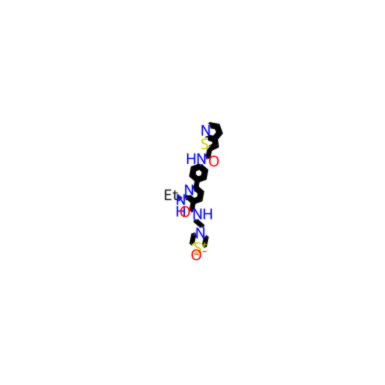 CCNc1nc(-c2ccc(NC(=O)c3cc4cccnc4s3)cc2)ccc1C(=O)NCCN1CC[S+]([O-])CC1